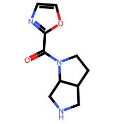 O=C(c1ncco1)N1CCC2CNCC21